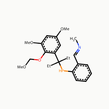 CCC(CC)(Pc1ccccc1/C=N/C)c1cc(OC)cc(OC)c1OCOC